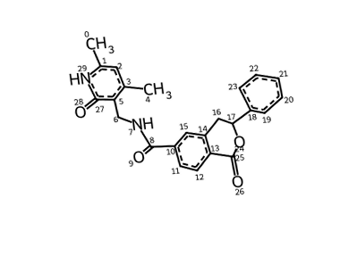 Cc1cc(C)c(CNC(=O)c2ccc3c(c2)CC(c2ccccc2)OC3=O)c(=O)[nH]1